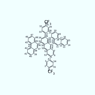 FC(F)(F)c1ccc(-c2ccc3c(-c4cc5ccccc5c5ccccc45)c4cc(-c5ccc(C(F)(F)F)cc5)cc(-c5cc6ccccc6c6ccccc56)c4cc3c2)cc1